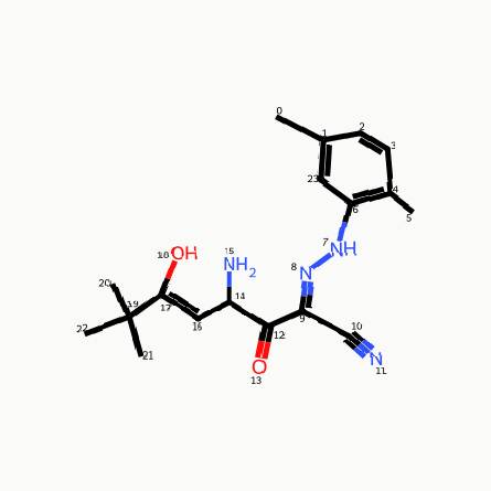 Cc1ccc(C)c(N/N=C(\C#N)C(=O)C(N)/C=C(\O)C(C)(C)C)c1